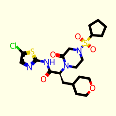 O=C(Nc1ncc(Cl)s1)[C@H](CC1CCOCC1)N1CCN(S(=O)(=O)C2CCCC2)CC1=O